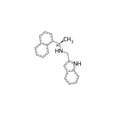 C[C@@H](NCc1cc2ccccc2[nH]1)c1cccc2ccccc12